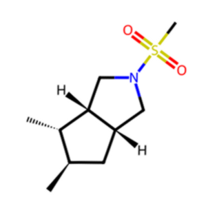 C[C@@H]1[C@@H]2CN(S(C)(=O)=O)C[C@@H]2C[C@H]1C